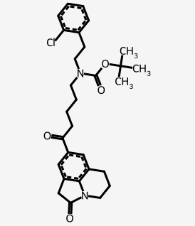 CC(C)(C)OC(=O)N(CCCCC(=O)c1cc2c3c(c1)CC(=O)N3CCC2)CCc1ccccc1Cl